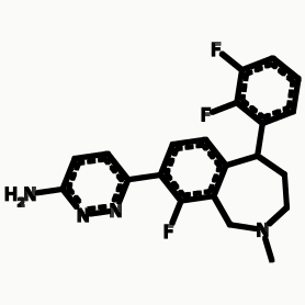 CN1CCC(c2cccc(F)c2F)c2ccc(-c3ccc(N)nn3)c(F)c2C1